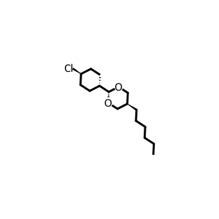 CCCCCC[C@H]1CO[C@H]([C@H]2CC[C@H](Cl)CC2)OC1